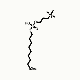 CCCCCCCCCCCCCCCCCCOP(=O)(O)OCCC[AsH](C)(C)C